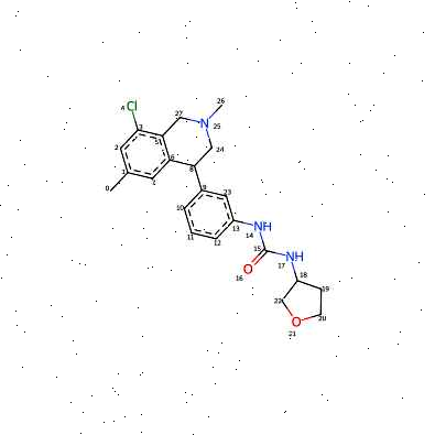 Cc1cc(Cl)c2c(c1)C(c1cccc(NC(=O)NC3CCOC3)c1)CN(C)C2